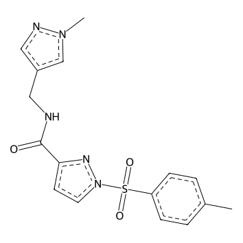 Cc1ccc(S(=O)(=O)n2ccc(C(=O)NCc3cnn(C)c3)n2)cc1